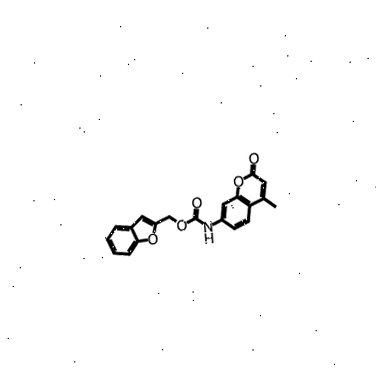 Cc1cc(=O)oc2cc(NC(=O)OCc3cc4ccccc4o3)ccc12